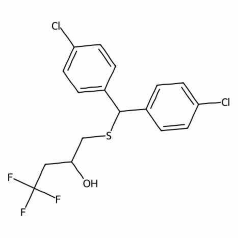 OC(CSC(c1ccc(Cl)cc1)c1ccc(Cl)cc1)CC(F)(F)F